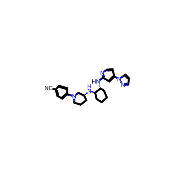 N#Cc1ccc(N2CCC[C@H](N[C@@H]3CCCC[C@H]3Nc3cc(-n4cccn4)ccn3)C2)cc1